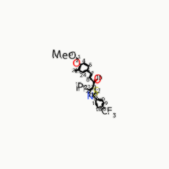 COCOc1ccc(C=CC(=O)c2sc(-c3ccc(C(F)(F)F)cc3)nc2C(C)C)cc1C